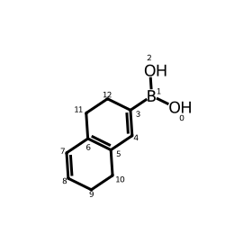 OB(O)C1=CC2=C(C=CCC2)CC1